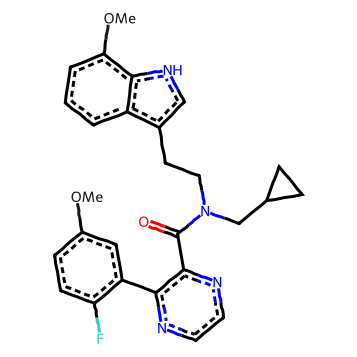 COc1ccc(F)c(-c2nccnc2C(=O)N(CCc2c[nH]c3c(OC)cccc23)CC2CC2)c1